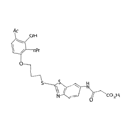 CCCc1c(OCCCSc2nc3ccc(NC(=O)CC(=O)O)cc3s2)ccc(C(C)=O)c1O